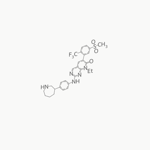 CCn1c(=O)c(-c2cc(S(C)(=O)=O)ccc2C(F)(F)F)cc2cnc(Nc3ccc(C4CCCCNC4)cc3)nc21